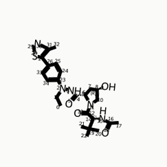 CCN(NC(=O)[C@@H]1C[C@@H](O)CN1C(=O)[C@@H](NC(C)=O)C(C)(C)C)c1ccc(-c2scnc2C)cc1